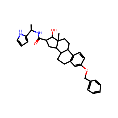 CC(NC(=O)C1CC2C3CCc4cc(OCc5ccccc5)ccc4C3CCC2(C)C1O)c1ccc[nH]1